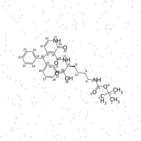 CC(C)(C)OC(=O)NCCCC[C@H](NC(=O)c1c(C(c2ccccc2)c2ccccc2)cc[nH]c1=O)C(=O)O